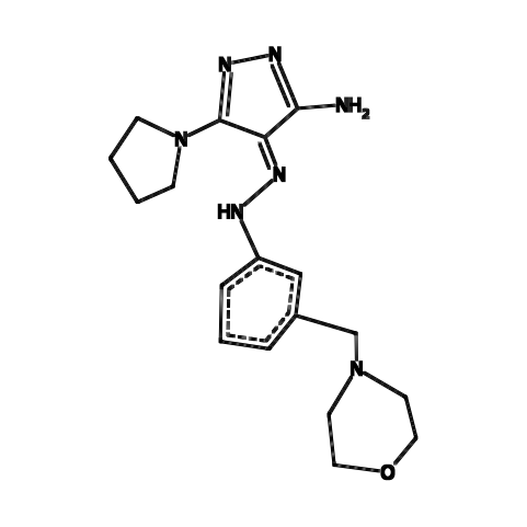 NC1=NN=C(N2CCCC2)/C1=N\Nc1cccc(CN2CCOCC2)c1